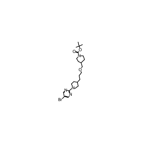 CC(C)(C)OC(=O)N1CCC(COCCCC2CCN(c3ncc(Br)cn3)CC2)CC1